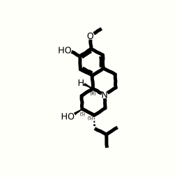 COc1cc2c(cc1O)[C@H]1C[C@H](O)[C@@H](CC(C)C)CN1CC2